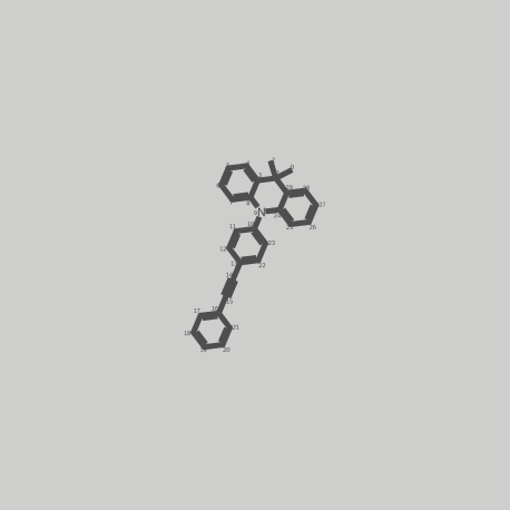 CC1(C)c2ccccc2N(c2ccc(C#Cc3ccccc3)cc2)c2ccccc21